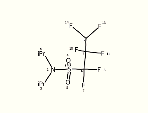 CC(C)N(C(C)C)S(=O)(=O)C(F)(F)C(F)(F)C(F)F